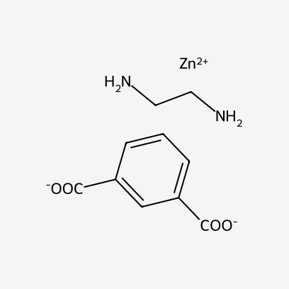 NCCN.O=C([O-])c1cccc(C(=O)[O-])c1.[Zn+2]